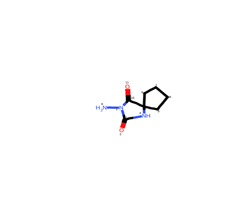 NN1C(=O)NC2(CCCC2)C1=O